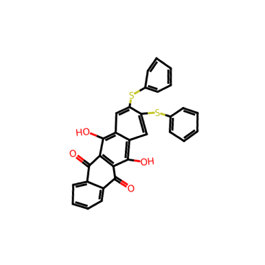 O=C1c2ccccc2C(=O)c2c1c(O)c1cc(Sc3ccccc3)c(Sc3ccccc3)cc1c2O